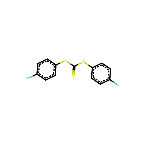 Fc1ccc(SC(=S)Sc2ccc(F)cc2)cc1